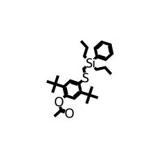 CCC[Si](CCC)(CSc1cc(C(C)(C)C)c(OC(C)=O)cc1C(C)(C)C)c1ccccc1